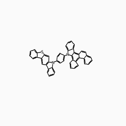 c1ccc2c(c1)ccc1c2c2ccccc2c2c1c1ccccc1n2-c1ccc(-n2c3ccccc3c3cc4c(cc32)sc2ccccc24)cc1